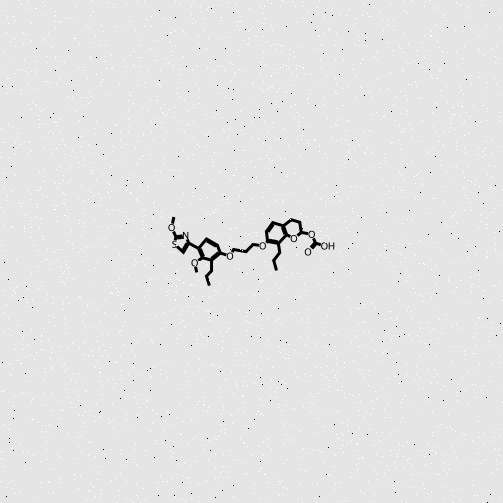 CCCc1c(OCCCOc2ccc(-c3csc(OC)n3)c(OC)c2CCC)ccc2c1OC(OC(=O)O)CC2